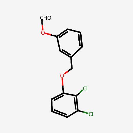 O=COc1cccc(COc2cccc(Cl)c2Cl)c1